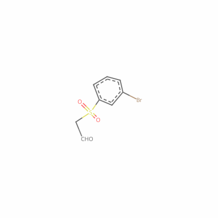 O=CCS(=O)(=O)c1cccc(Br)c1